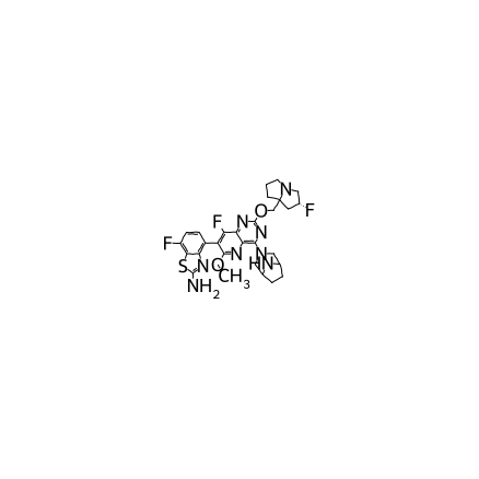 COc1nc2c(N3CC4CCC(C3)N4)nc(OCC34CCCN3C[C@H](F)C4)nc2c(F)c1-c1ccc(F)c2sc(N)nc12